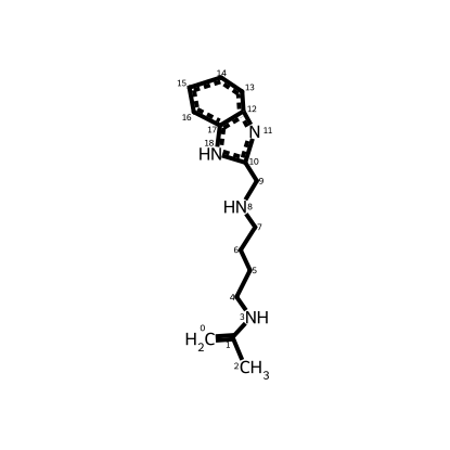 C=C(C)NCCCCNCc1nc2ccccc2[nH]1